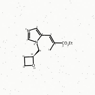 CCOC(=O)/C(C)=C/c1cncn1C[C@@H]1CCO1